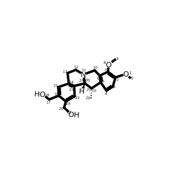 COc1ccc2c(c1OC)CN1CCc3cc(CO)c(CO)cc3[C@H]1[C@H]2C